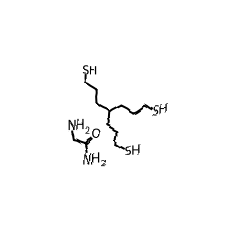 NCC(N)=O.SCCCC(CCCS)CCCS